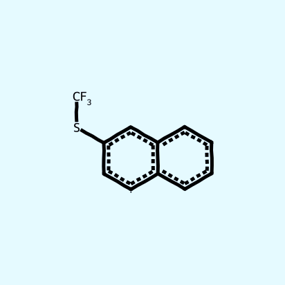 FC(F)(F)Sc1c[c]c2ccccc2c1